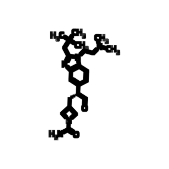 CN(C)CCn1c(CC(C)(C)C)nc2cc([C@H](C=O)CC3CN(C(N)=O)C3)ccc21